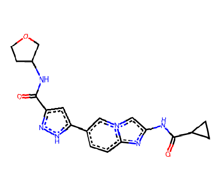 O=C(NC1CCOC1)c1cc(-c2ccc3nc(NC(=O)C4CC4)cn3c2)[nH]n1